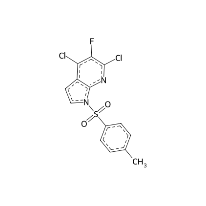 Cc1ccc(S(=O)(=O)n2ccc3c(Cl)c(F)c(Cl)nc32)cc1